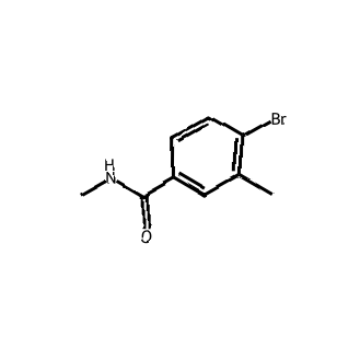 CNC(=O)c1ccc(Br)c(C)c1